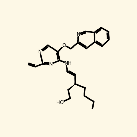 C=Cc1ncc(OCc2cc3ccccc3cn2)c(N/C=C/[C@H](CCO)CCCC)n1